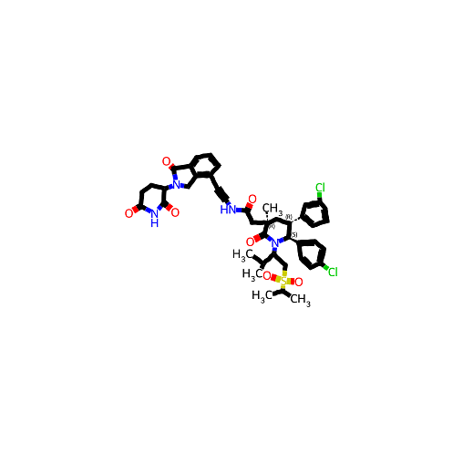 CC(C)C(CS(=O)(=O)C(C)C)N1C(=O)[C@@](C)(CC(=O)NC#Cc2cccc3c2CN(C2CCC(=O)NC2=O)C3=O)C[C@H](c2cccc(Cl)c2)[C@H]1c1ccc(Cl)cc1